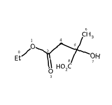 CCOC(=O)CC(C)(O)C(=O)O